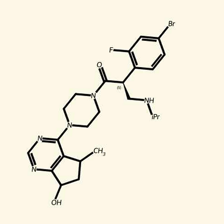 CC(C)NC[C@@H](C(=O)N1CCN(c2ncnc3c2C(C)CC3O)CC1)c1ccc(Br)cc1F